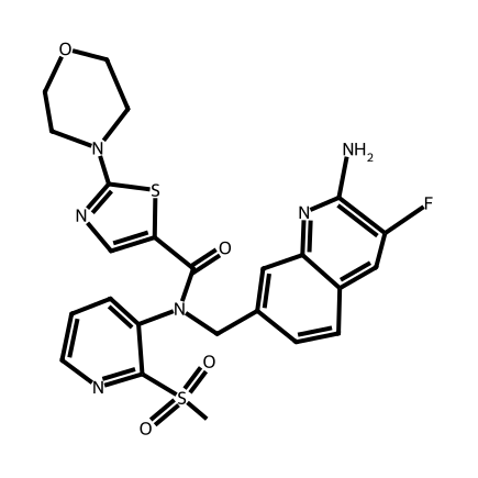 CS(=O)(=O)c1ncccc1N(Cc1ccc2cc(F)c(N)nc2c1)C(=O)c1cnc(N2CCOCC2)s1